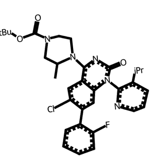 CC(C)c1cccnc1-n1c(=O)nc(N2CCN(C(=O)OC(C)(C)C)CC2C)c2cc(Cl)c(-c3ccccc3F)cc21